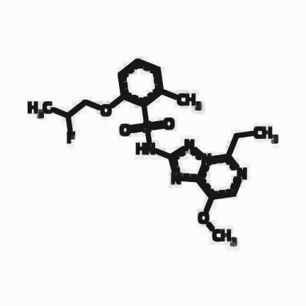 CCc1ncc(OC)c2nc(NS(=O)(=O)c3c(C)cccc3OCC(C)F)nn12